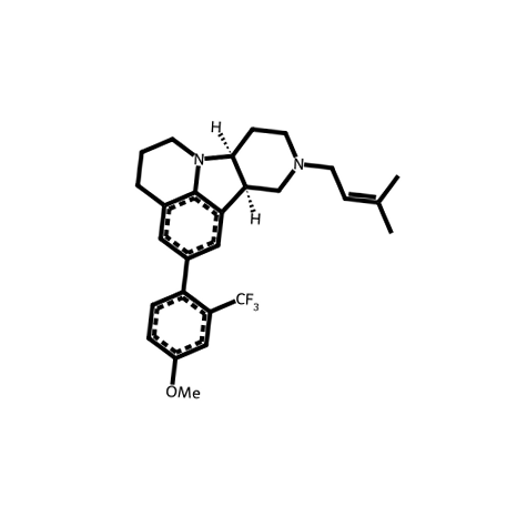 COc1ccc(-c2cc3c4c(c2)[C@@H]2CN(CC=C(C)C)CC[C@@H]2N4CCC3)c(C(F)(F)F)c1